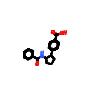 O=C(O)c1ccc(C2CCCC2NC(=O)c2ccccc2)cc1